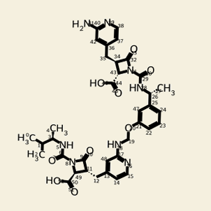 CC(C)[C@@H](C)NC(=O)N1C(=O)[C@H](Cc2ccnc(NCOc3cccc([C@@H](C)NC(=O)N4C(=O)[C@H](Cc5ccnc(N)c5)[C@H]4C(=O)O)c3)c2)[C@H]1C(=O)O